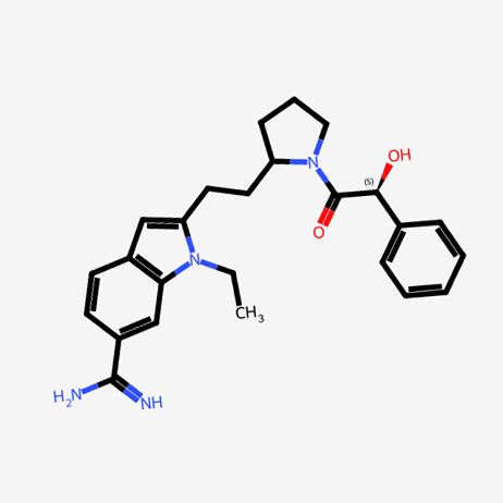 CCn1c(CCC2CCCN2C(=O)[C@@H](O)c2ccccc2)cc2ccc(C(=N)N)cc21